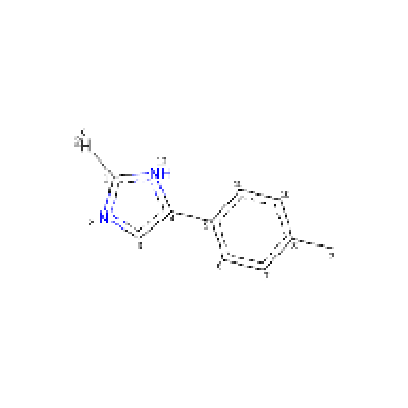 [2H]c1ncc(-c2ccc(C)cc2)[nH]1